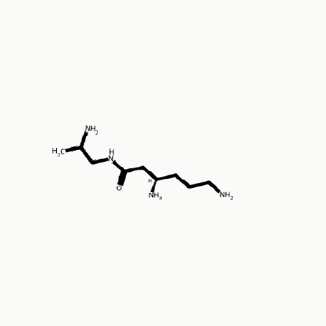 CC(N)CNC(=O)C[C@H](N)CCCN